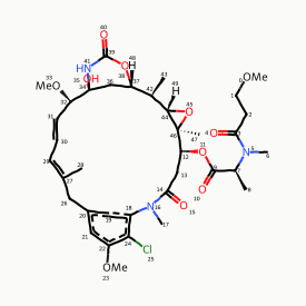 COCCC(=O)N(C)[C@@H](C)C(=O)O[C@H]1CC(=O)N(C)c2cc(cc(OC)c2Cl)C/C(C)=C/C=C/[C@@H](OC)[C@@]2(O)C[C@H](OC(=O)N2)[C@@H](C)[C@@H]2O[C@@]12C